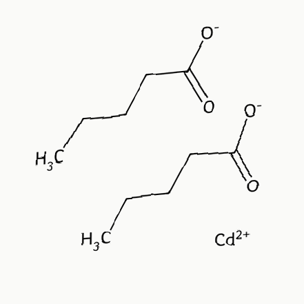 CCCCC(=O)[O-].CCCCC(=O)[O-].[Cd+2]